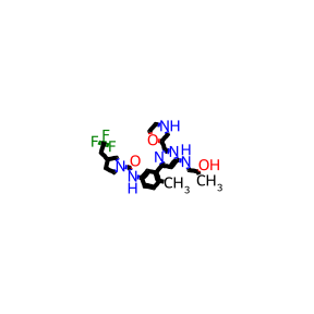 Cc1ccc(NC(=O)N2CCC(CC(F)(F)F)C2)cc1-c1cc(NCC(C)O)nc(C2CNCCO2)n1